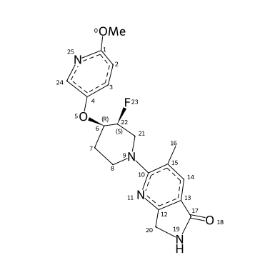 COc1ccc(O[C@@H]2CCN(c3nc4c(cc3C)C(=O)NC4)C[C@@H]2F)cn1